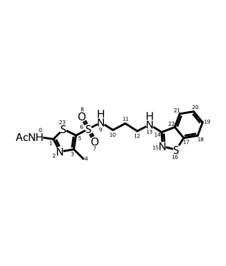 CC(=O)Nc1nc(C)c(S(=O)(=O)NCCCNc2nsc3ccccc23)s1